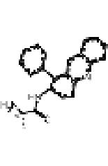 C[C@H](N)C(=O)Nc1ccc2nc3ccccc3cc2c1-c1ccccc1